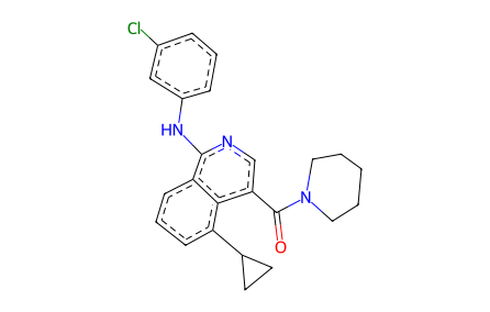 O=C(c1cnc(Nc2cccc(Cl)c2)c2cccc(C3CC3)c12)N1CCCCC1